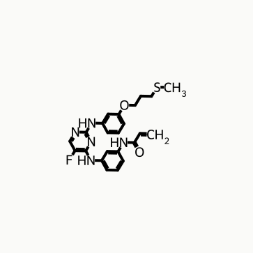 C=CC(=O)Nc1cccc(Nc2nc(Nc3cccc(OCCCSC)c3)ncc2F)c1